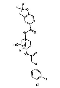 O=C(COc1ccc(Cl)c(Cl)c1)NC12CCC(NC(=O)c3ccc4c(c3)OC(F)(F)O4)(CC1)C[C@@H]2O